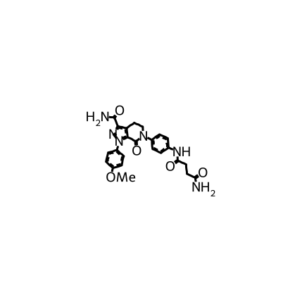 COc1ccc(-n2nc(C(N)=O)c3c2C(=O)N(c2ccc(NC(=O)CCC(N)=O)cc2)CC3)cc1